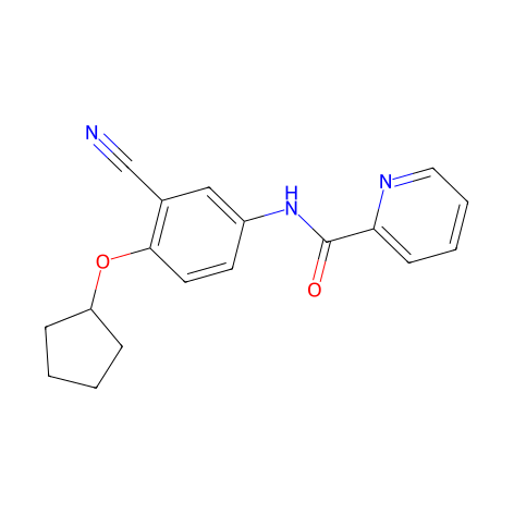 N#Cc1cc(NC(=O)c2ccccn2)ccc1OC1CCCC1